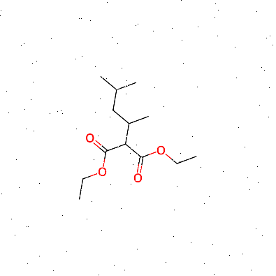 CCOC(=O)C(C(=O)OCC)C(C)CC(C)C